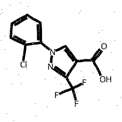 O=C(O)c1cn(-c2ccccc2Cl)nc1C(F)(F)F